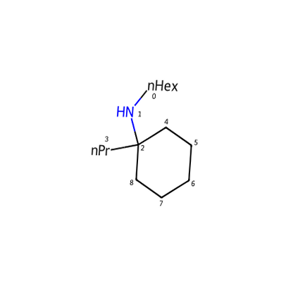 CCCCCCNC1(CCC)CCCCC1